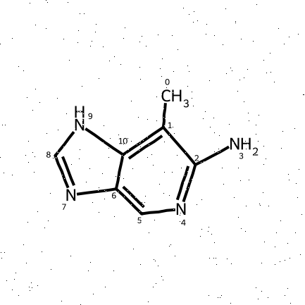 Cc1c(N)ncc2nc[nH]c12